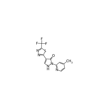 Cc1ccnc(-n2[nH]cc(-c3nnc(C(F)(F)F)s3)c2=O)c1